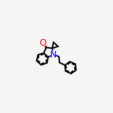 O=C1c2ccccc2N(CCc2ccccc2)C12CC2